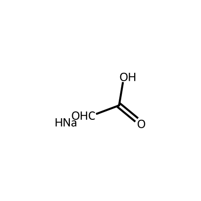 O=CC(=O)O.[NaH]